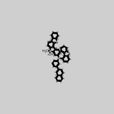 C[Si]1(C)c2cc(N(c3cccc(-c4ccc5ccccc5c4)c3)c3cccc4sc5ccccc5c34)ccc2-c2c1ccc1c2sc2ccccc21